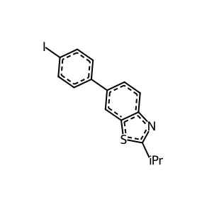 CC(C)c1nc2ccc(-c3ccc(I)cc3)cc2s1